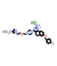 Cl.Cl.Nc1nc2c(c(N3CCN(CCOCCn4cc(C(=O)O)cn4)CC3)n1)CCc1cc(OCc3ccc(Cl)cc3)ccc1-2